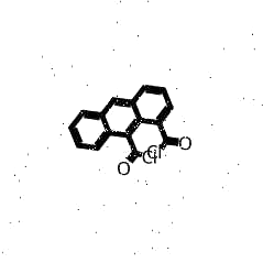 O=C(Cl)c1cccc2cc3ccccc3c(C(=O)Cl)c12